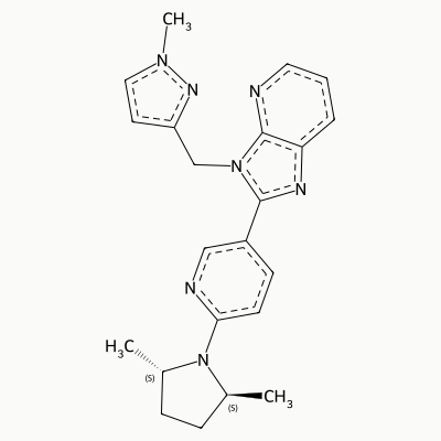 C[C@H]1CC[C@H](C)N1c1ccc(-c2nc3cccnc3n2Cc2ccn(C)n2)cn1